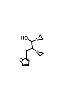 OC(C(Cc1ccco1)N1CC1)N1CC1